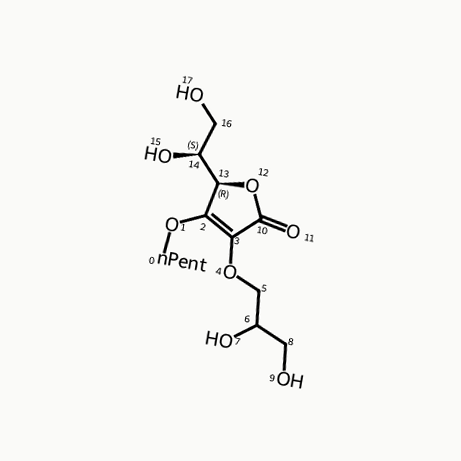 CCCCCOC1=C(OCC(O)CO)C(=O)O[C@@H]1[C@@H](O)CO